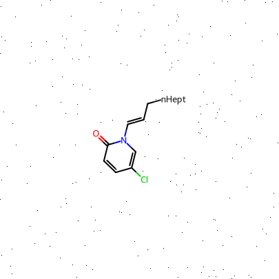 CCCCCCCC/C=C/n1cc(Cl)ccc1=O